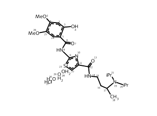 COc1cc(O)c(C(=O)Nc2nc(C(=O)NCCC(C)N(C(C)C)C(C)C)cs2)cc1OC.Cl.O.O.O